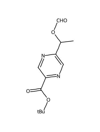 CC(OC=O)c1cnc(C(=O)OC(C)(C)C)cn1